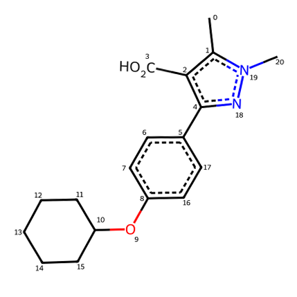 Cc1c(C(=O)O)c(-c2ccc(OC3CCCCC3)cc2)nn1C